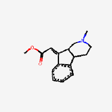 COC(=O)/C=C1\c2ccccc2C2CCN(C)CC12